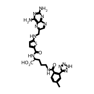 Cc1ccc(C(=O)NCCC[C@H](NC(=O)c2ccc(NCc3cnc4nc(N)nc(N)c4n3)s2)C(=O)O)c(-c2nn[nH]n2)c1